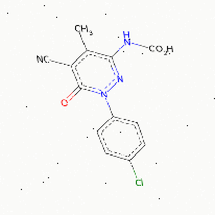 Cc1c(NC(=O)O)nn(-c2ccc(Cl)cc2)c(=O)c1C#N